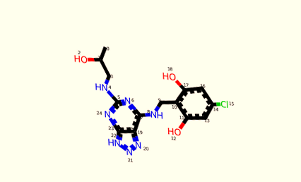 CC(O)CNc1nc(NCc2c(O)cc(Cl)cc2O)c2nn[nH]c2n1